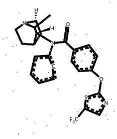 C[C@H]1[C@H](N(C(=O)c2ccc(Oc3ncc(C(F)(F)F)s3)cc2)c2ccccc2)C2CCN1CC2